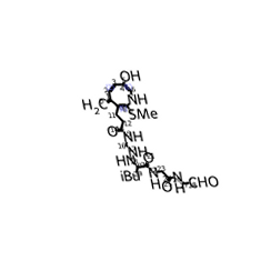 C=C1/C=C\C(O)=C/N/C(SC)=C\1CCC(=O)NCNNC(C(=O)NCC(=O)NCC=O)C(C)CC